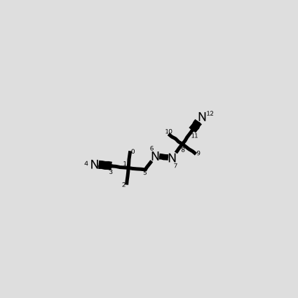 CC(C)(C#N)C/N=N/C(C)(C)C#N